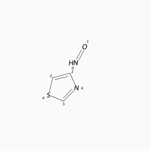 N=O.c1cscn1